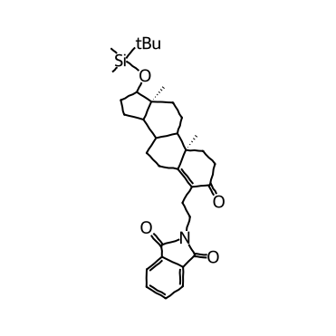 CC(C)(C)[Si](C)(C)OC1CCC2C3CCC4=C(CCN5C(=O)c6ccccc6C5=O)C(=O)CC[C@]4(C)C3CC[C@]12C